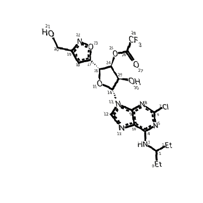 CCC(CC)Nc1nc(Cl)nc2c1ncn2[C@@H]1O[C@H](c2cc(CO)no2)[C@@H](OC(=O)C(F)(F)F)[C@H]1O